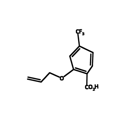 C=CCOc1cc(C(F)(F)F)ccc1C(=O)O